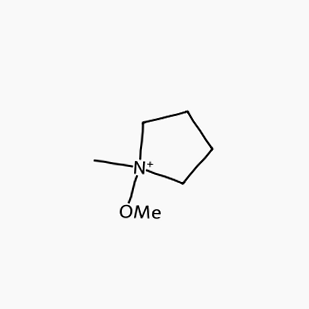 CO[N+]1(C)CCCC1